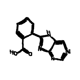 O=C(O)c1ccccc1-c1nc2ncncc2[nH]1